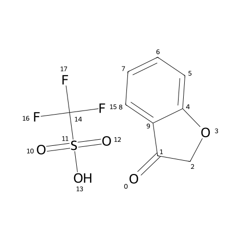 O=C1COc2ccccc21.O=S(=O)(O)C(F)(F)F